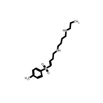 CCCNCCCCNCCC=CS(=O)(=O)c1ccc(C)cc1